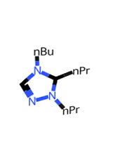 CCCCN1C=NN(CCC)C1CCC